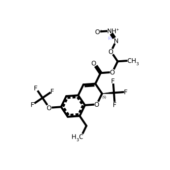 CCc1cc(OC(F)(F)F)cc2c1O[C@H](C(F)(F)F)C(C(=O)OC(C)O/N=[NH+]\[O-])=C2